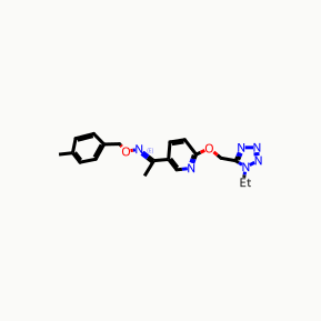 CCn1nnnc1COc1ccc(/C(C)=N/OCc2ccc(C)cc2)cn1